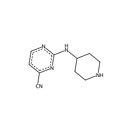 N#Cc1ccnc(NC2CCNCC2)n1